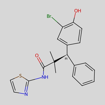 CC(C)(C(=O)Nc1nccs1)[C@H](c1ccccc1)c1ccc(O)c(Br)c1